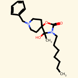 CCCCCCCN1C(=O)OC2(CCN(Cc3ccccc3)CC2)C1(C)O